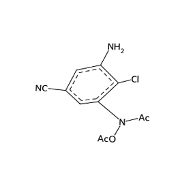 CC(=O)ON(C(C)=O)c1cc(C#N)cc(N)c1Cl